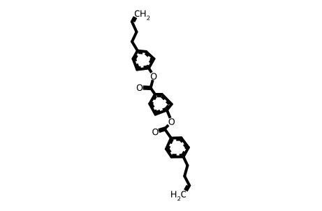 C=CCCc1ccc(OC(=O)c2ccc(OC(=O)c3ccc(CCC=C)cc3)cc2)cc1